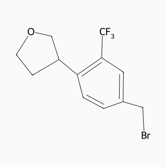 FC(F)(F)c1cc(CBr)ccc1C1CCOC1